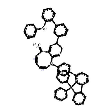 C=C1/C=C\C=C/N(c2ccc(-c3cccc4c3C(c3ccccc3)(c3ccccc3)c3ccccc3-4)cc2)C2=CCC(c3cccc(-c4ccccc4Nc4ccccc4)c3)C=C12